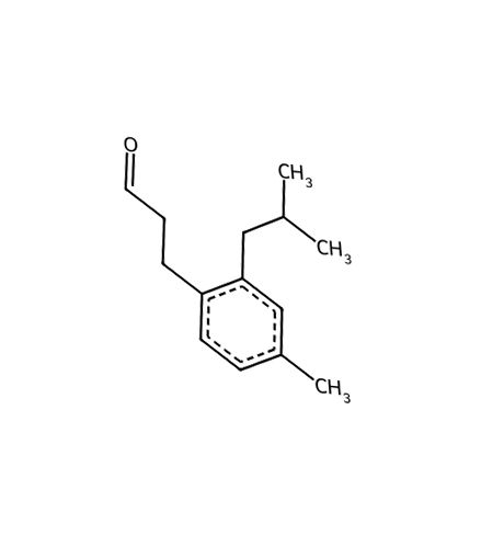 Cc1ccc(CCC=O)c(CC(C)C)c1